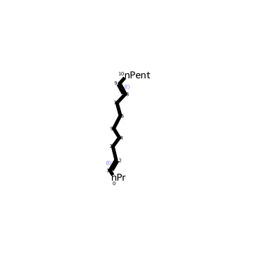 CCC/C=C/CCCCC/C=C/CCCCC